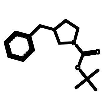 CC(C)(C)OC(=O)N1CCC(Cc2ccccc2)C1